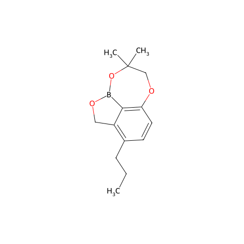 CCCc1ccc2c3c1COB3OC(C)(C)CO2